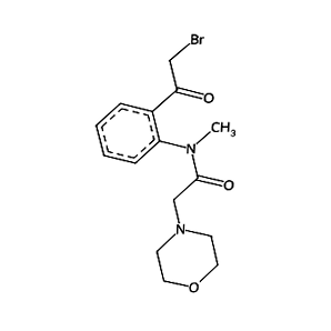 CN(C(=O)CN1CCOCC1)c1ccccc1C(=O)CBr